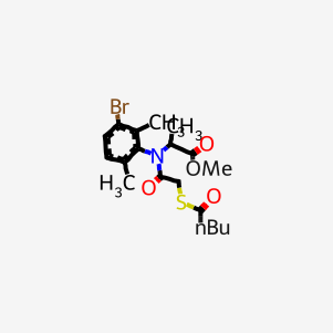 CCCCC(=O)SCC(=O)N(c1c(C)ccc(Br)c1C)C(C)C(=O)OC